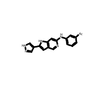 CC(=O)c1cccc(Nc2cc3[nH]c(-c4cn[nH]c4)cc3cn2)c1